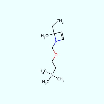 CCC1(C)C=CN1COCC[Si](C)(C)C